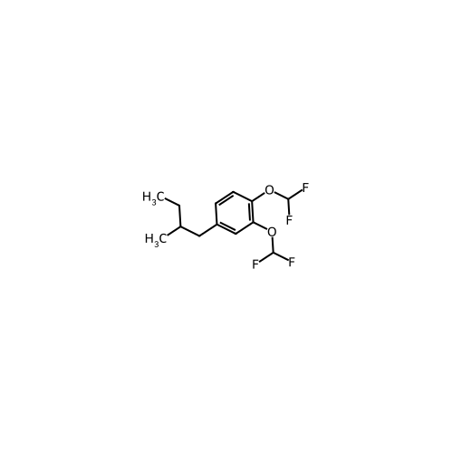 CCC(C)Cc1ccc(OC(F)F)c(OC(F)F)c1